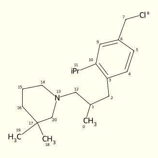 CC(Cc1ccc(CCl)cc1C(C)C)CN1CCCC(C)(C)C1